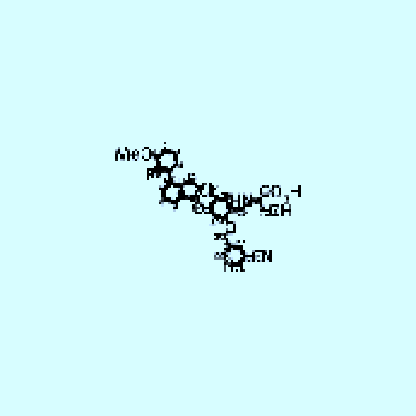 COc1cccc(-c2cccc3c2CC[C@@H]3Oc2cc(OCc3cncc(C#N)c3)c(CN[C@H](CO)C(=O)O)cc2Cl)c1F